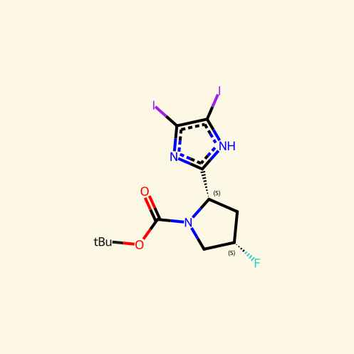 CC(C)(C)OC(=O)N1C[C@@H](F)C[C@H]1c1nc(I)c(I)[nH]1